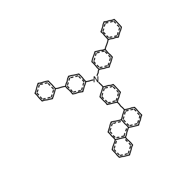 c1ccc(-c2ccc(N(c3ccc(-c4ccccc4)cc3)c3ccc(-c4cccc5c4ccc4ccccc45)cc3)cc2)cc1